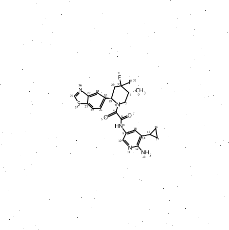 C[C@@H]1CN(C(=O)C(=O)Nc2cnc(N)c(C3CC3)c2)[C@@H](c2ccc3scnc3c2)CC1(F)F